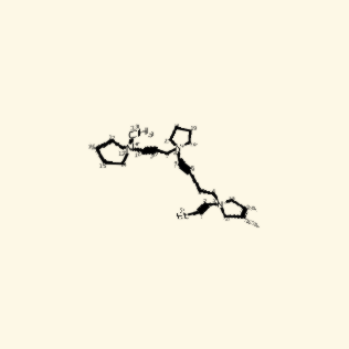 CCC#C[N+]1(CCC#C[N+]2(CC#C[N+]3(C)CCCC3)CCCC2)CCCC1